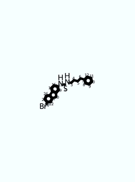 S=C(NCCCCc1ccccc1)Nc1ccc2c(c1)Cc1cc(Br)ccc1-2